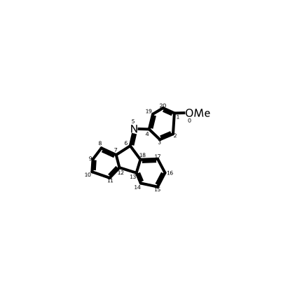 COc1ccc(N=C2c3ccccc3-c3ccccc32)cc1